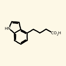 O=C(O)CCCc1cccc2[nH]ccc12